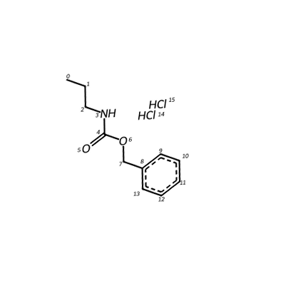 CCCNC(=O)OCc1ccccc1.Cl.Cl